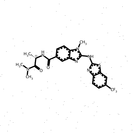 C[C@H](NC(=O)c1ccc2c(c1)nc(Nc1nc3ccc(C(F)(F)F)cc3s1)n2C)C(=O)N(C)C